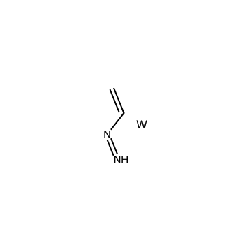 C=CN=N.[W]